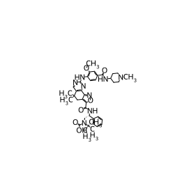 COc1cc(C(=O)NC2CCN(C)CC2)ccc1Nc1ncc2c(n1)-c1noc(C(=O)N[C@@H](CN(C(=O)O)C(C)(C)C)c3ccccc3)c1CC2(C)C